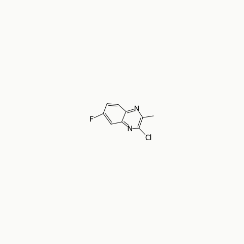 Cc1nc2ccc(F)cc2nc1Cl